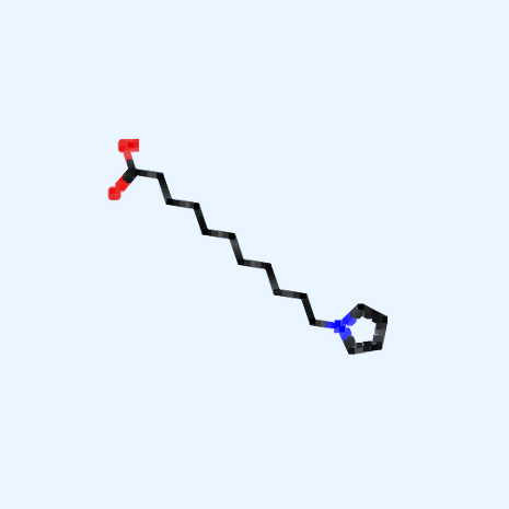 O=C(O)CCCCCCCCCCn1cccc1